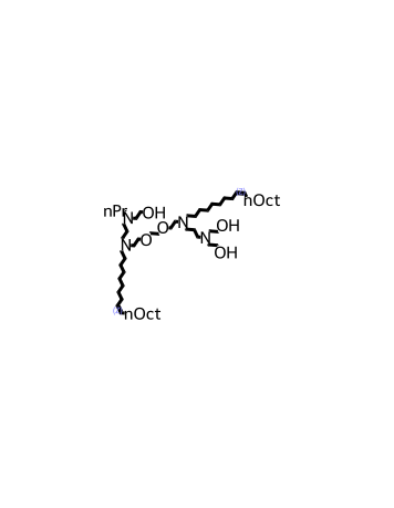 CCCCCCCC/C=C\CCCCCCCCN(CCCN(CCC)CCO)CCOCCOCCN(CCCCCCCC/C=C\CCCCCCCC)CCCN(CCO)CCO